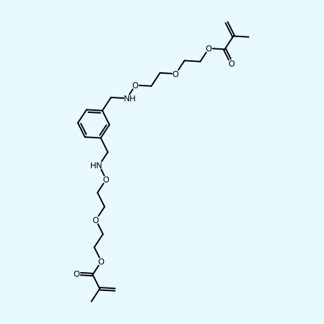 C=C(C)C(=O)OCCOCCONCc1cccc(CNOCCOCCOC(=O)C(=C)C)c1